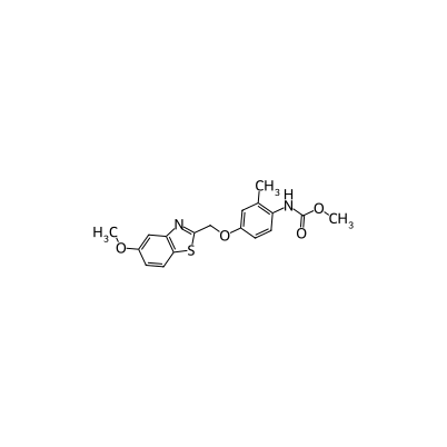 COC(=O)Nc1ccc(OCc2nc3cc(OC)ccc3s2)cc1C